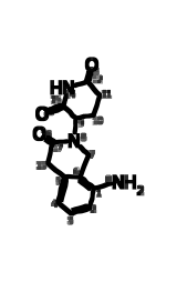 Nc1cccc2c1CN(C1CCC(=O)NC1=O)C(=O)C2